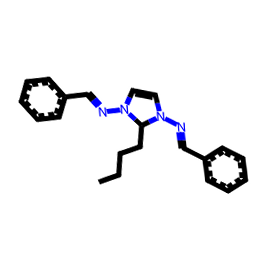 CCCCC1N(N=Cc2ccccc2)C=CN1N=Cc1ccccc1